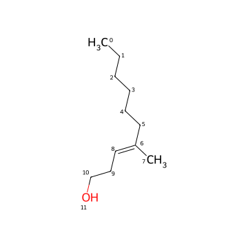 CCCCCCC(C)=CCCO